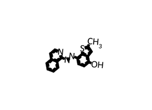 Cc1cc2c(O)ccc(/N=N/c3nccc4ccccc34)c2s1